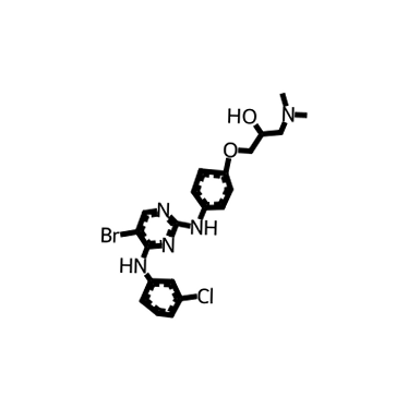 CN(C)CC(O)COc1ccc(Nc2ncc(Br)c(Nc3cccc(Cl)c3)n2)cc1